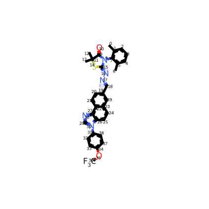 Cc1cccc(C)c1N1C(=O)C(C)(C)S/C1=N\N=C\c1ccc2c(ccc3c2ncn3-c2ccc(OC(F)(F)F)cc2)c1